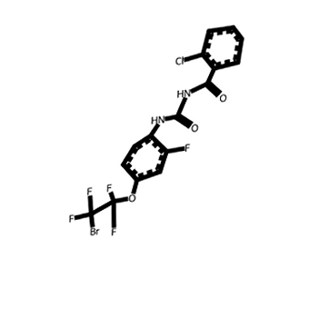 O=C(NC(=O)c1ccccc1Cl)Nc1ccc(OC(F)(F)C(F)(F)Br)cc1F